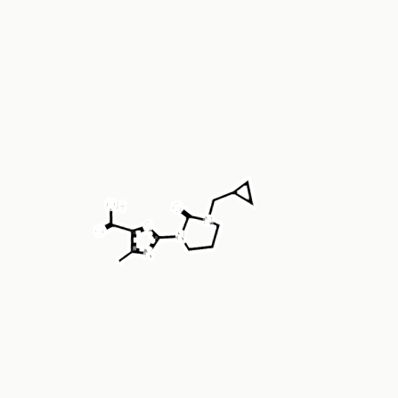 Cc1nc(N2CCCN(CC3CC3)C2=O)sc1C(=O)O